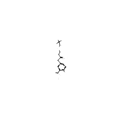 CC(C)(I)COCCC(=N)Cc1ccc(Cl)c(C(O)O)c1